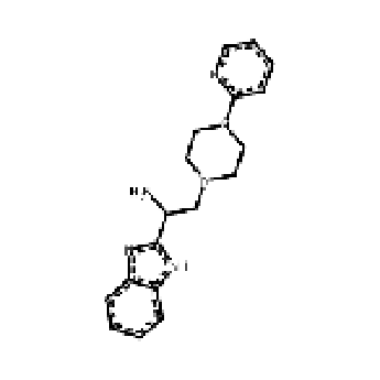 NC(CN1CCN(c2ccccn2)CC1)c1nc2ccccc2[nH]1